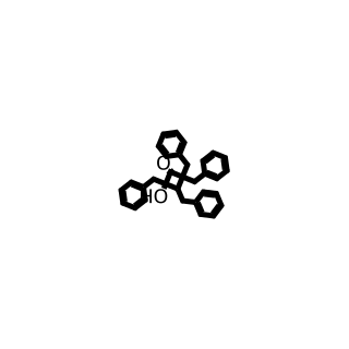 O=C1C(O)(Cc2ccccc2)C(Cc2ccccc2)C1(Cc1ccccc1)Cc1ccccc1